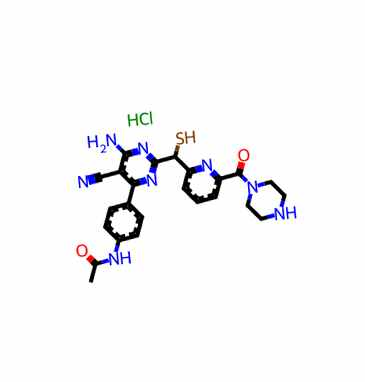 CC(=O)Nc1ccc(-c2nc(C(S)c3cccc(C(=O)N4CCNCC4)n3)nc(N)c2C#N)cc1.Cl